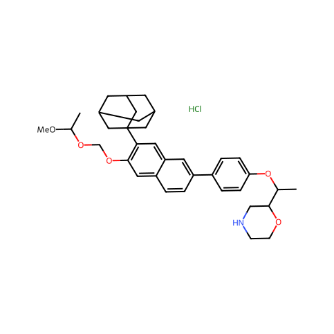 COC(C)OCOc1cc2ccc(-c3ccc(OC(C)C4CNCCO4)cc3)cc2cc1C12CC3CC(CC(C3)C1)C2.Cl